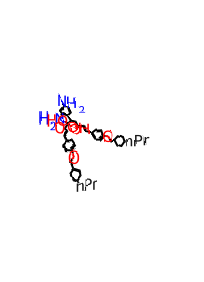 CCCC1CCC(COc2ccc(C=CC(=O)CC(c3ccc(N)cc3N)C(O)(O)C(=O)C=Cc3ccc(OCC4CCC(CCC)CC4)cc3)cc2)CC1